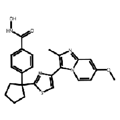 COc1ccn2c(-c3csc(C4(c5ccc(C(=O)NO)cc5)CCCC4)n3)c(C)nc2c1